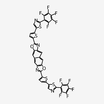 Fc1c(F)c(F)c(-c2ncc(-c3ccc(-c4nc5cc6cc7oc(-c8ccc(-c9cnc(-c%10c(F)c(F)c(F)c(F)c%10F)s9)s8)nc7cc6cc5o4)s3)s2)c(F)c1F